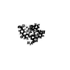 COc1cc(N2CCN(C(=O)C3CCN(C(C)=O)CC3)CC2)ccc1Nc1ncc(Cl)c(NCc2cccc3c2C(C)(C)C(=O)N3)n1